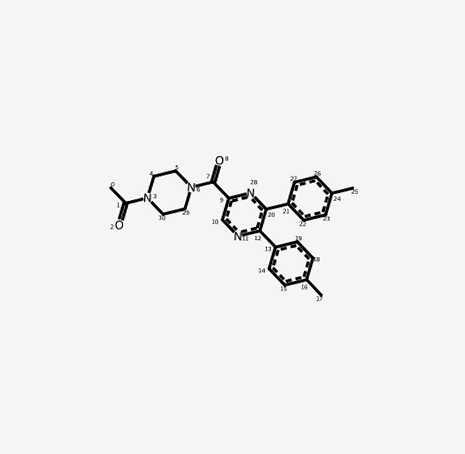 CC(=O)N1CCN(C(=O)c2cnc(-c3ccc(C)cc3)c(-c3ccc(C)cc3)n2)CC1